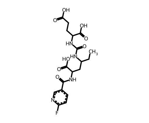 CCC(CC(NC(=O)c1ccc(F)nc1)C(=O)O)NC(=O)NC(CCC(=O)O)C(=O)O